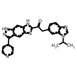 CC(C)n1cnc2ccc(CC(=O)c3nc4cc5c(-c6ccncc6)n[nH]c5cc4[nH]3)cc21